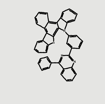 c1ccc(-c2nc(-c3cccc(-n4c5ccccc5c5c6ccccc6c6c7ccccc7sc6c54)c3)nc3ccccc23)cc1